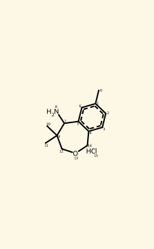 Cc1ccc2c(c1)C(N)C(C)(C)COC2.Cl